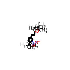 CC(C)(C)c1ccc(C=CCO[Si](C)(C)C(C)(C)C)cc1[N+](=O)[O-]